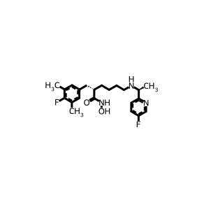 Cc1cc(C[C@H](CCCCN[C@@H](C)c2ccc(F)cn2)C(=O)NO)cc(C)c1F